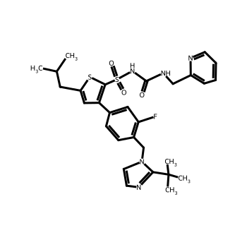 CC(C)Cc1cc(-c2ccc(Cn3ccnc3C(C)(C)C)c(F)c2)c(S(=O)(=O)NC(=O)NCc2ccccn2)s1